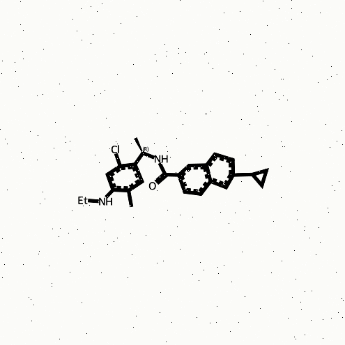 CCNc1cc(Cl)c([C@@H](C)NC(=O)c2ccc3cc(C4CC4)ccc3c2)cc1C